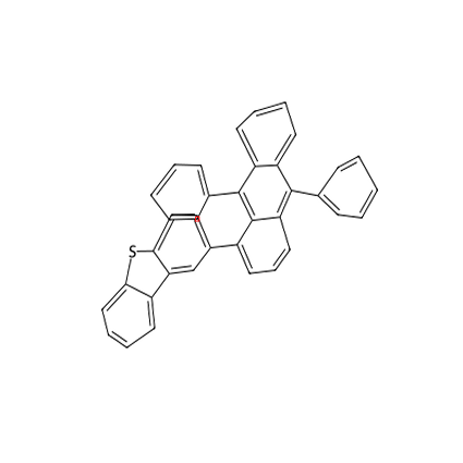 c1ccc(-c2c3ccccc3c(-c3ccccc3)c3c(-c4ccc5sc6ccccc6c5c4)cccc23)cc1